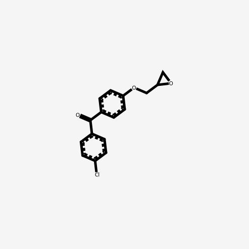 O=C(c1ccc(Cl)cc1)c1ccc(OCC2CO2)cc1